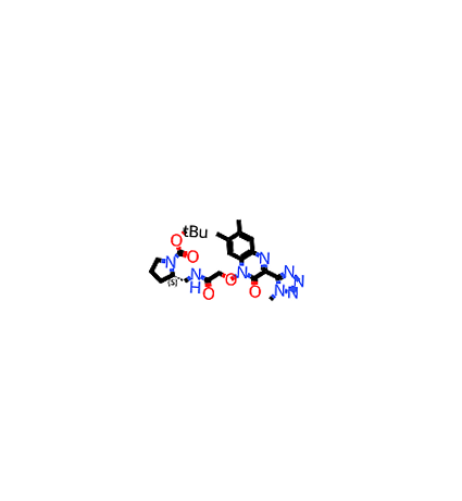 Cc1cc2nc(-c3nnnn3C)c(=O)n(OCC(=O)NC[C@@H]3CCCN3C(=O)OC(C)(C)C)c2cc1C